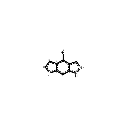 [2H]c1c2cn[nH]c2cc2sccc12